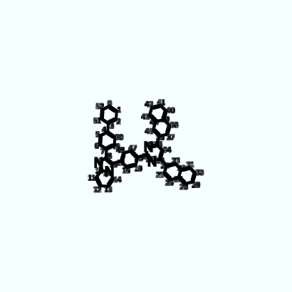 c1ccc(-c2ccc(-c3nc4ccccn4c3-c3ccc(-c4nc(-c5ccc6ccccc6c5)cc(-c5ccc6ccccc6c5)n4)cc3)cc2)cc1